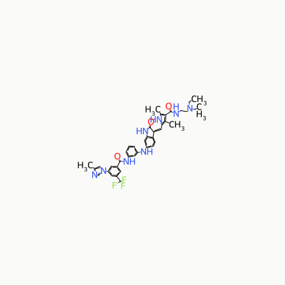 CCN(CC)CCNC(=O)c1c(C)[nH]c(C=C2C(=O)Nc3cc(Nc4cccc(NC(=O)c5cc(-n6cnc(C)c6)cc(C(F)(F)F)c5)c4)ccc32)c1C